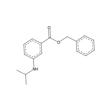 CC(C)Nc1cccc(C(=O)OCc2ccccc2)c1